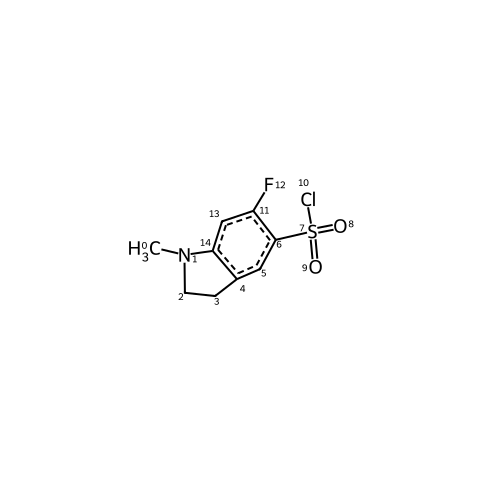 CN1CCc2cc(S(=O)(=O)Cl)c(F)cc21